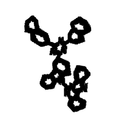 c1ccc2cc(-c3nc(-c4ccc5ccccc5c4)nc(-c4ccc5c(c4)c4ccccc4n5-c4nc5ccccc5c5nc6ccccc6n45)n3)ccc2c1